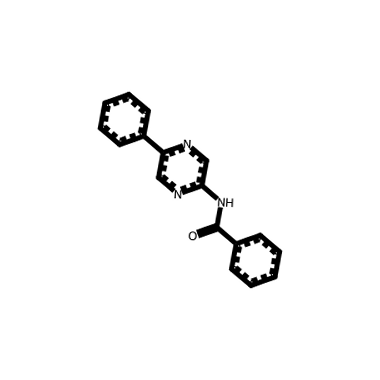 O=C(Nc1cnc(-c2ccccc2)cn1)c1ccccc1